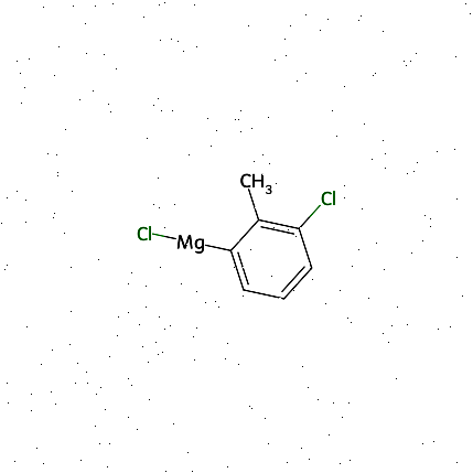 Cc1c(Cl)ccc[c]1[Mg][Cl]